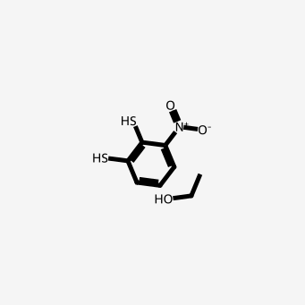 CCO.O=[N+]([O-])c1cccc(S)c1S